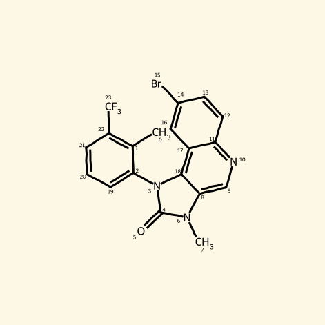 Cc1c(-n2c(=O)n(C)c3cnc4ccc(Br)cc4c32)cccc1C(F)(F)F